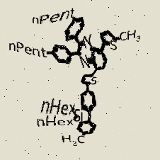 CCCCCC[Si]1(CCCCCC)c2cc(C)ccc2-c2ccc(-c3ccc(-c4ccc(-c5ccc(C)s5)c5nc(-c6ccc(CCCCC)cc6)c(-c6ccc(CCCCC)cc6)nc45)s3)cc21